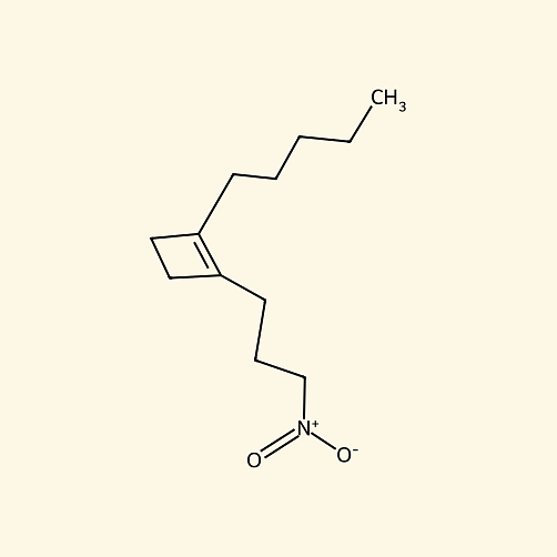 CCCCCC1=C(CCC[N+](=O)[O-])CC1